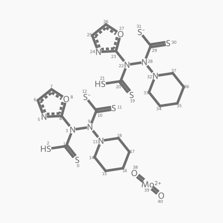 S=C(S)N(c1ncco1)N(C(=S)[S-])N1CCCCC1.S=C(S)N(c1ncco1)N(C(=S)[S-])N1CCCCC1.[O]=[Mo+2]=[O]